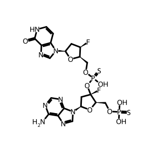 Nc1ncnc2c1ncn2[C@H]1C[C@](F)(OP(O)(=S)OC[C@H]2O[C@@H](n3cnc4c(=O)[nH]ccc43)C[C@H]2F)[C@@H](COP(O)(O)=S)O1